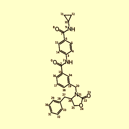 O=C(Nc1ccc(C(=O)NC2CC2)cc1)c1cccc(CN2C(=O)OCC2Cc2ccccc2)c1